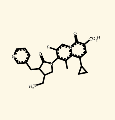 Cc1c(N2CC(CN)C(Cc3cccnc3)C2=O)c(F)cn2c(=O)c(C(=O)O)cc(C3CC3)c12